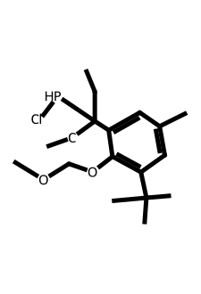 CCC(CC)(PCl)c1cc(C)cc(C(C)(C)C)c1OCOC